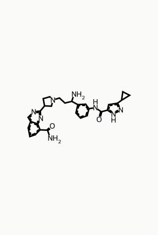 NC(=O)c1cccc2cnc(C3CCN(CCC(N)c4cccc(NC(=O)c5cc(C6CC6)n[nH]5)c4)C3)nc12